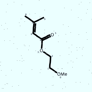 COCCOC(=O)C=C(C)C